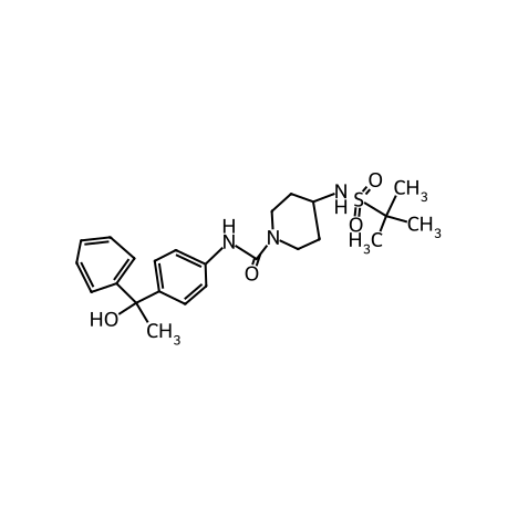 CC(O)(c1ccccc1)c1ccc(NC(=O)N2CCC(NS(=O)(=O)C(C)(C)C)CC2)cc1